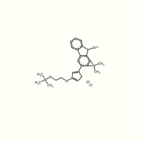 C[Si](C)(C)OCCOC1=CCC(c2cc3c(c4c2[Si]4(C)C)[CH]([Zr+2])c2ccccc2-3)=C1.[Cl-].[Cl-]